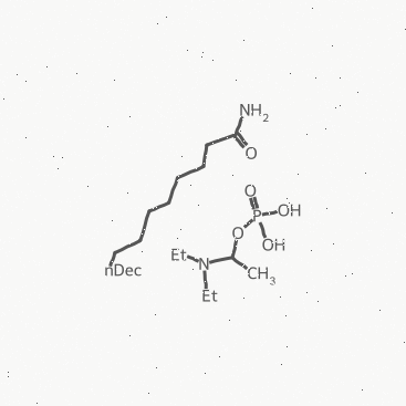 CCCCCCCCCCCCCCCCCC(N)=O.CCN(CC)C(C)OP(=O)(O)O